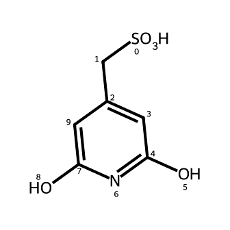 O=S(=O)(O)Cc1cc(O)nc(O)c1